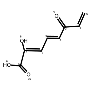 C=CC(=O)C=CC=C(O)C(=O)O